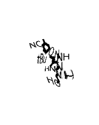 Cc1cc(OCc2n[nH]c3c2CNC(NCCO)=N3)c(C(C)(C)C)cc1C#N